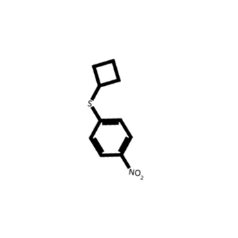 O=[N+]([O-])c1ccc(SC2CCC2)cc1